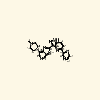 CN1CCN(c2cncc3[nH]c(-c4n[nH]c5ccc(-c6cnccn6)nc45)nc23)CC1